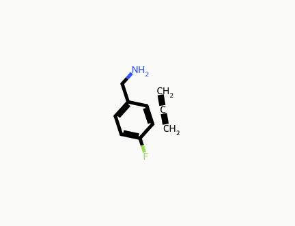 C=C=C.NCc1ccc(F)cc1